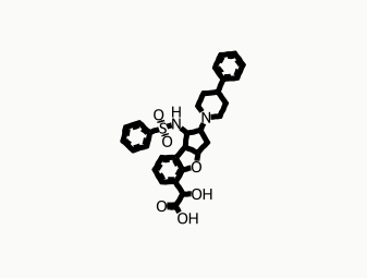 O=C(O)C(O)c1cccc2c1OC1CC(N3CCC(c4ccccc4)CC3)C(NS(=O)(=O)c3ccccc3)C21